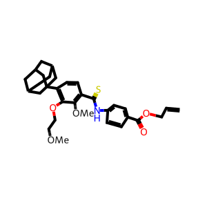 C=CCOC(=O)c1ccc(NC(=S)c2ccc(C34CC5CC(CC(C5)C3)C4)c(OCCOC)c2OC)cc1